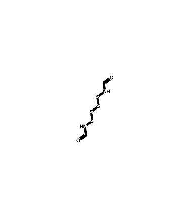 O=CNSSSSNC=O